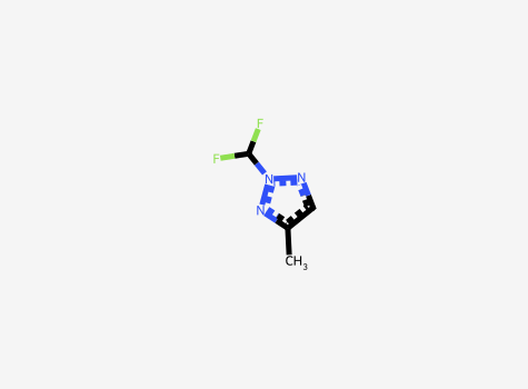 Cc1cnn(C(F)F)n1